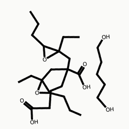 CCCC1OC1(CC)CC(CCCC(=O)O)(CC1(CC)OC1CCC)C(=O)O.OCCCCCO